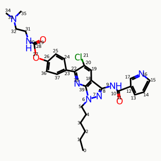 CCCCCCn1nc(NC(=O)c2cccnc2)c2cc(Cl)c(-c3ccc(OC(=O)NCCN(C)C)cc3)nc21